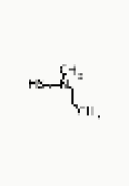 CCCN(C)CS